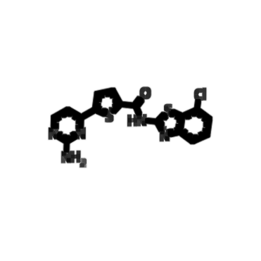 Nc1nccc(-c2ccc(C(=O)Nc3nc4cccc(Cl)c4s3)s2)n1